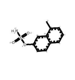 Cc1cccc2ccc(OS(N)(=O)=O)cc12